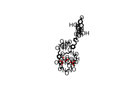 C[C@H](NC(=O)CCc1ccc(N2C(=O)C=CC2=O)c(F)c1OCCCC(=O)N(C)CC(=O)N(C)CC(=O)N(C)CC(=O)N(C)CC(=O)N(C)CC(=O)N(C)CC(=O)N(C)CC(=O)N(C)CC(=O)N(C)CC(=O)N(C)CC(=O)O)C(=O)N[C@@H](C)C(=O)Nc1cccc(Cc2ccc([C@@H]3O[C@@H]4C[C@H]5[C@@H]6CCC7=CC(=O)C=C[C@]7(C)[C@H]6[C@@H](O)C[C@]5(C)[C@]4(C(=O)CO)O3)s2)c1